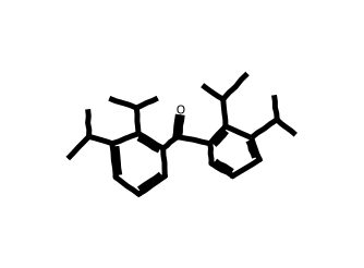 CC(C)c1cccc(C(=O)c2cccc(C(C)C)c2C(C)C)c1C(C)C